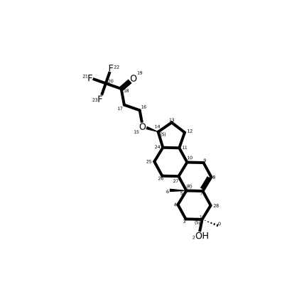 C[C@]1(O)CC[C@@]2(C)C(=CCC3C4CC[C@H](OCCC(=O)C(F)(F)F)C4CCC32)C1